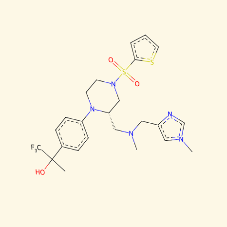 CN(Cc1cn(C)cn1)C[C@H]1CN(S(=O)(=O)c2cccs2)CCN1c1ccc(C(C)(O)C(F)(F)F)cc1